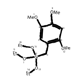 CCO[Si](Cc1cc(OC)c(OC)cc1OC)(OCC)OCC